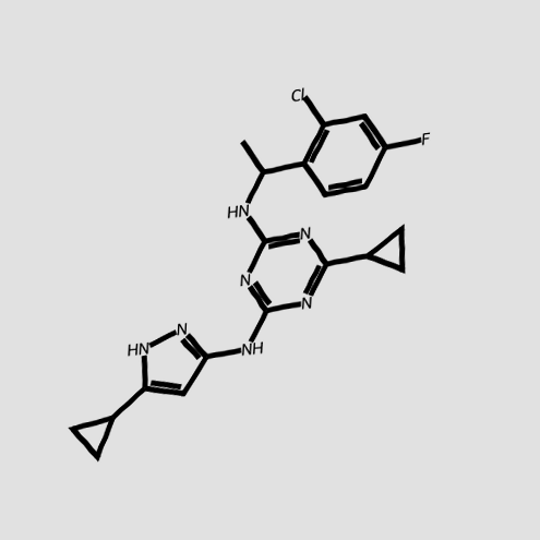 CC(Nc1nc(Nc2cc(C3CC3)[nH]n2)nc(C2CC2)n1)c1ccc(F)cc1Cl